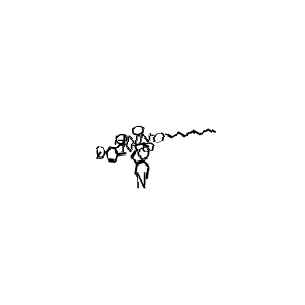 CCCCCCCCOCN1C(=O)N[C@](c2cc3cnccc3o2)(N2Cc3ccc(OC)cc3C2=O)C1=O